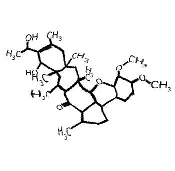 COC1CCC2C3CCC(C)C4C(=O)C5C(C)C6(C)C(O)C(C(C)O)=C(C)CC6(C)CC5(C)C(OC2C1OC)C34